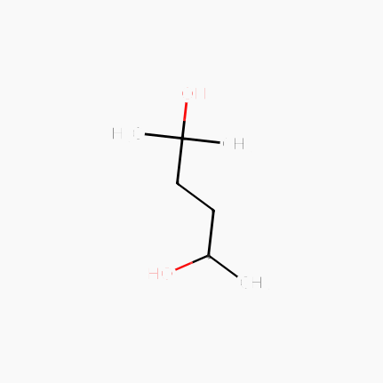 C[C](O)CCC(C)(C)O